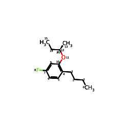 CCCCc1ccc(F)cc1O[C@H](C)CC